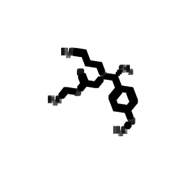 C=CCCN(CC(=O)OCC)[C@H](C)c1ccc(OC)cc1